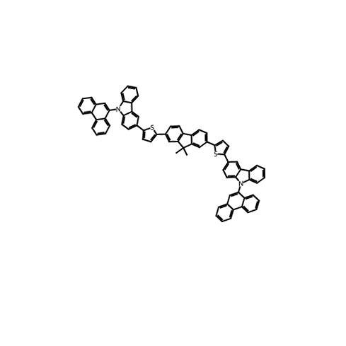 CC1(C)c2cc(-c3ccc(-c4ccc5c(c4)c4ccccc4n5-c4cc5ccccc5c5ccccc45)s3)ccc2-c2ccc(-c3ccc(-c4ccc5c(c4)c4ccccc4n5-c4cc5ccccc5c5ccccc45)s3)cc21